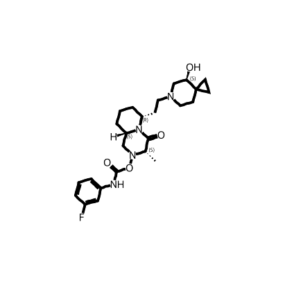 C[C@H]1C(=O)N2[C@@H](CCN3CCC4(CC4)[C@H](O)C3)CCC[C@H]2CN1OC(=O)Nc1cccc(F)c1